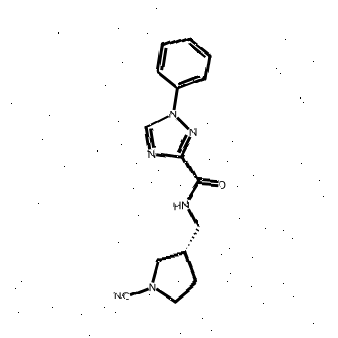 N#CN1CC[C@@H](CNC(=O)c2ncn(-c3ccccc3)n2)C1